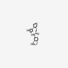 O=C(/C=C/c1cnccc1-c1cn[nH]c1)Nc1ccc2c(c1)CNCC2